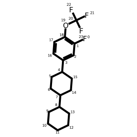 Fc1cc(C2CCC(C3CCCCC3)CC2)ccc1OC(F)(F)F